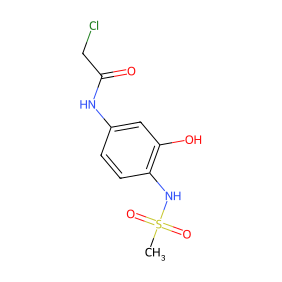 CS(=O)(=O)Nc1ccc(NC(=O)CCl)cc1O